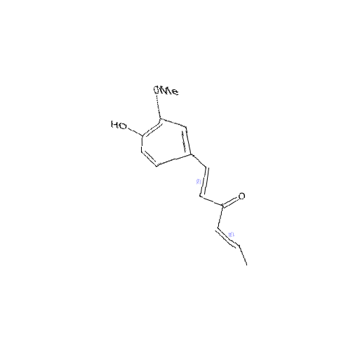 C/C=C/C(=O)/C=C/c1ccc(O)c(OC)c1